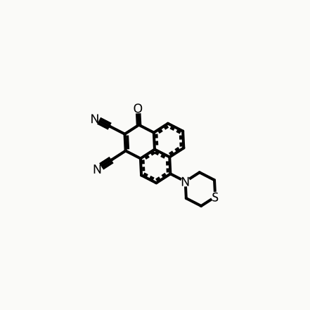 N#CC1=C(C#N)c2ccc(N3CCSCC3)c3cccc(c23)C1=O